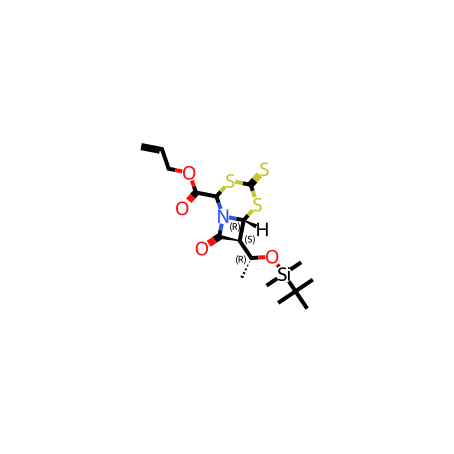 C=CCOC(=O)C1SC(=S)S[C@@H]2[C@@H]([C@@H](C)O[Si](C)(C)C(C)(C)C)C(=O)N12